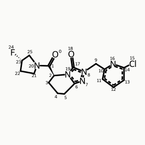 O=C([C@@H]1CCCc2nn(Cc3cccc(Cl)n3)c(=O)n21)N1CC[C@H](F)C1